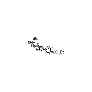 CCOC(=O)c1ccc(N2CC3=C(CN(OC(=O)OC(C)(C)C)C3)C2)nc1